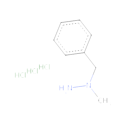 CN(N)Cc1ccccc1.Cl.Cl.Cl